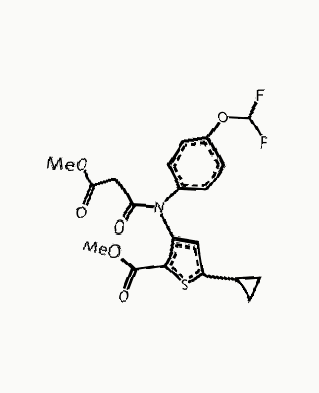 COC(=O)CC(=O)N(c1ccc(OC(F)F)cc1)c1cc(C2CC2)sc1C(=O)OC